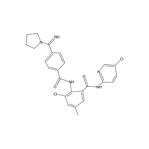 Cc1cc(Cl)c(NC(=O)c2ccc(C(=N)N3CCCC3)cc2)c(C(=O)Nc2ccc(Cl)cn2)c1